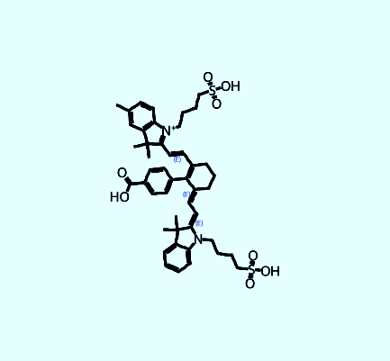 Cc1ccc2c(c1)C(C)(C)C(/C=C/C1=C(c3ccc(C(=O)O)cc3)C(=C/C=C3/N(CCCCS(=O)(=O)O)c4ccccc4C3(C)C)/CCC1)=[N+]2CCCCS(=O)(=O)O